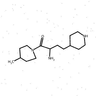 CC1CCN(C(=O)C(N)CCC2CCNCC2)CC1